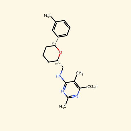 Cc1cccc([C@H]2CCC[C@@H](CNc3nc(C)nc(C(=O)O)c3C)O2)c1